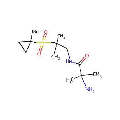 CC(C)(N)C(=O)NCC(C)(C)S(=O)(=O)C1(C(C)(C)C)CC1